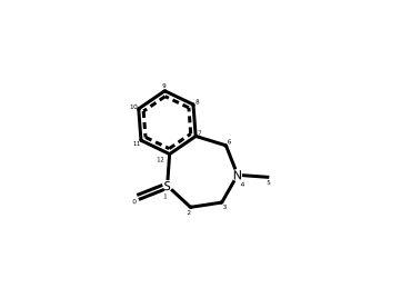 C=S1CCN(C)Cc2ccccc21